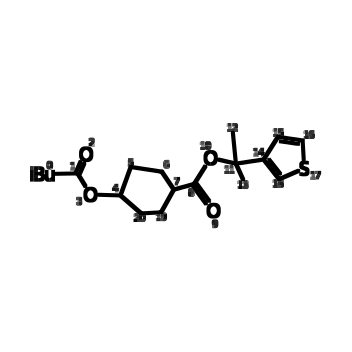 CCC(C)C(=O)OC1CCC(C(=O)OC(C)(C)c2ccsc2)CC1